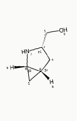 OC[C@@H]1C[C@@H]2C[C@@H]2N1